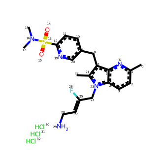 Cc1ccc2c(n1)c(Cc1ccc(S(=O)(=O)N(C)C)nc1)c(C)n2CC(F)=CCN.Cl.Cl.Cl